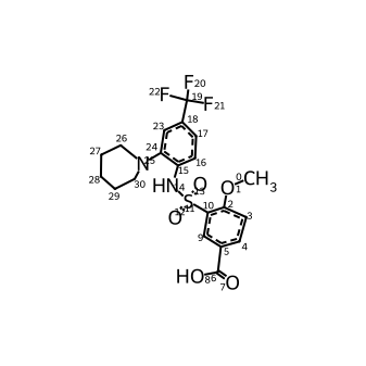 COc1ccc(C(=O)O)cc1S(=O)(=O)Nc1ccc(C(F)(F)F)cc1N1CCCCC1